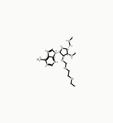 CCOCCOCO[C@@H]1[C@H](OC)[C@@H](COC)O[C@H]1n1cnc2c(N)ncnc21